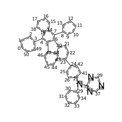 c1ccc(-c2c3c(c(-c4ccccc4)c4ccccc24)-c2ccc(-c4ccc(N(c5ccccc5)c5ncncn5)cc4)c4cccc-3c24)cc1